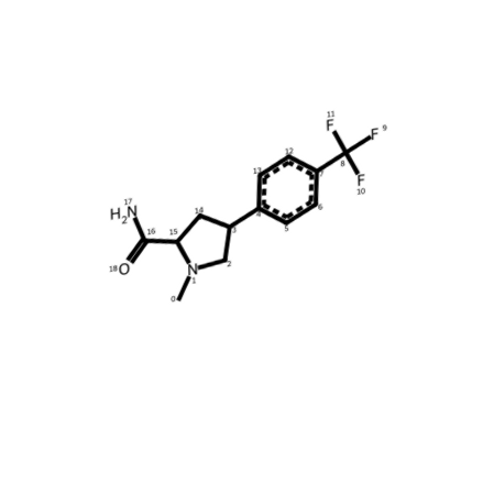 CN1CC(c2ccc(C(F)(F)F)cc2)[CH]C1C(N)=O